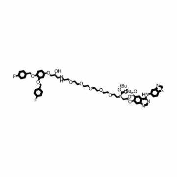 CC(C)(C)OC(=O)N(CCOCCOCCOCCOCCOCCNC[C@@H](O)COc1ccc(OCc2ccc(F)cc2)c(OCc2ccc(F)cc2)c1)CCOc1cc2ncnc(Nc3ccc4scnc4c3)c2cc1S(=O)(=O)C(C)(C)C